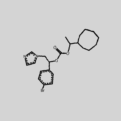 CC(OC(=O)OC(Cn1ccnc1)c1ccc(Br)cc1)C1CCCCCCC1